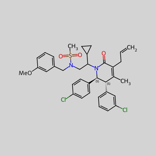 C=CCC1=C(C)[C@H](c2cccc(Cl)c2)[C@@H](c2ccc(Cl)cc2)N(C(CN(Cc2cccc(OC)c2)S(C)(=O)=O)C2CC2)C1=O